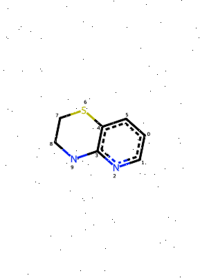 c1cnc2c(c1)SCC[N]2